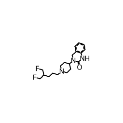 O=C1Nc2ccccc2CN1C1CCN(CCCC(CF)CF)CC1